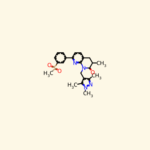 Cc1nn(C)c(C)c1CN1C(=O)C(C)Cc2ccc(-c3cccc(S(C)(=O)=O)c3)nc21